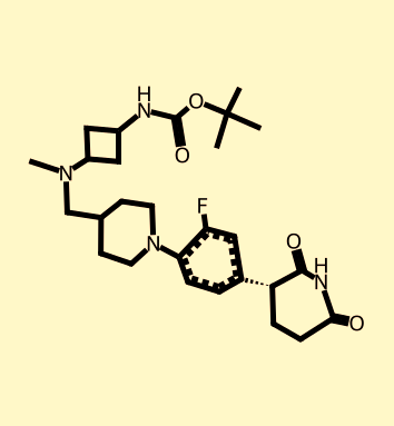 CN(CC1CCN(c2ccc([C@H]3CCC(=O)NC3=O)cc2F)CC1)C1CC(NC(=O)OC(C)(C)C)C1